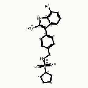 CC(C)c1cccc2c(-c3ccc(CNS(=O)(=O)C4CCCC4)cc3)c(C(=O)O)[nH]c12